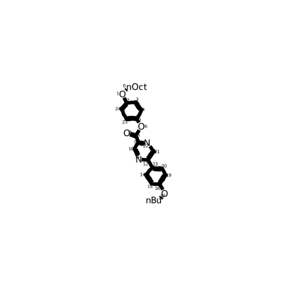 CCCCCCCCOc1ccc(OC(=O)c2cnc(-c3ccc(OCCCC)cc3)cn2)cc1